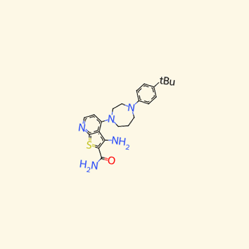 CC(C)(C)c1ccc(N2CCCN(c3ccnc4sc(C(N)=O)c(N)c34)CC2)cc1